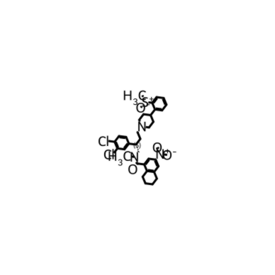 CN(C[C@@H](CCN1CCC(c2ccccc2[S+](C)[O-])CC1)c1ccc(Cl)c(Cl)c1)C(=O)c1cc([N+](=O)[O-])cc2c1CCCC2